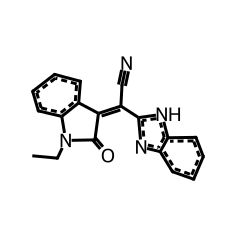 CCN1C(=O)/C(=C(/C#N)c2nc3ccccc3[nH]2)c2ccccc21